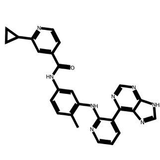 Cc1ccc(NC(=O)c2ccnc(C3CC3)c2)cc1Nc1ncccc1-c1ncnc2[nH]cnc12